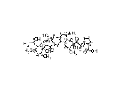 CC(C)C1O[C@@](O)(CC(=O)N2CCC(CC(C)C3CC[C@@H](C)[C@](O)(C(=O)C(=O)N4CCC[C@H]4C(=O)O)O3)C[C@H]2C(=O)O)[C@H](C)CC1C